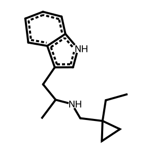 CCC1(CNC(C)Cc2c[nH]c3ccccc23)CC1